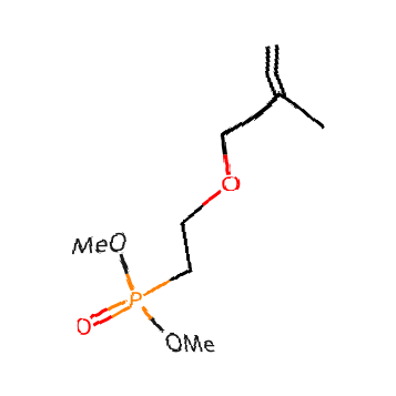 C=C(C)COCCP(=O)(OC)OC